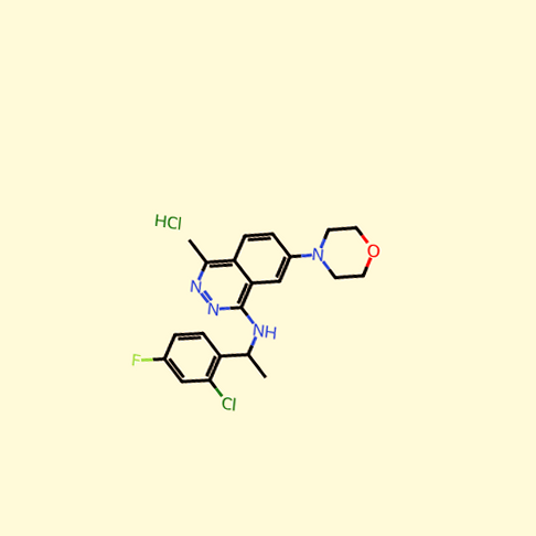 Cc1nnc(NC(C)c2ccc(F)cc2Cl)c2cc(N3CCOCC3)ccc12.Cl